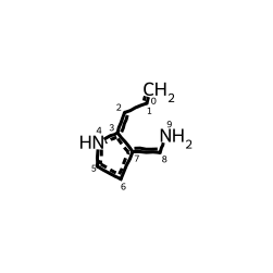 C=C/C=c1/[nH]cc/c1=C/N